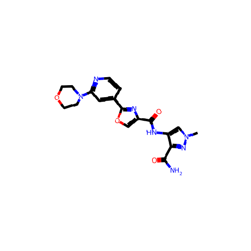 Cn1cc(NC(=O)c2coc(-c3ccnc(N4CCOCC4)c3)n2)c(C(N)=O)n1